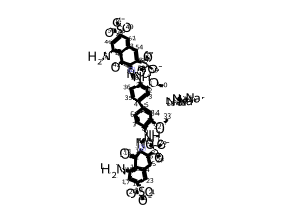 COc1cc(-c2ccc(N/N=C3/C(=O)c4c(N)cc(S(=O)(=O)[O-])cc4C=C3S(=O)(=O)[O-])c(OC)c2)ccc1N/N=C1/C(=O)c2c(N)cc(S(=O)(=O)[O-])cc2C=C1S(=O)(=O)[O-].[Na+].[Na+].[Na+].[Na+]